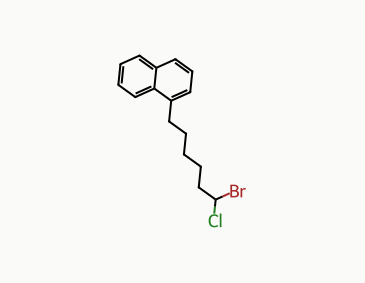 ClC(Br)CCCCCc1cccc2ccccc12